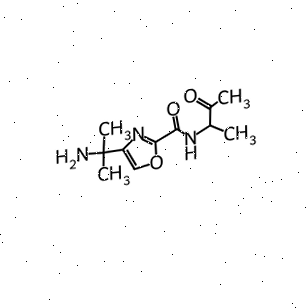 CC(=O)C(C)NC(=O)c1nc(C(C)(C)N)co1